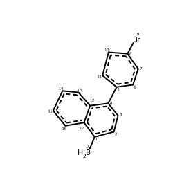 Bc1ccc(-c2ccc(Br)cc2)c2ccccc12